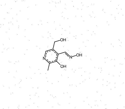 Cc1ncc(CO)c(C=NO)c1O